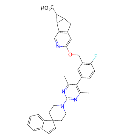 Cc1nc(N2CCC3(C=Cc4ccccc43)CC2)nc(C)c1-c1ccc(F)c(COc2cc3c(cn2)C2C(C3)C2C(=O)O)c1